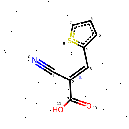 N#C/C(=C\c1cccs1)C(=O)O